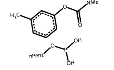 CCCCCOP(O)O.CNC(=O)Oc1cccc(C)c1